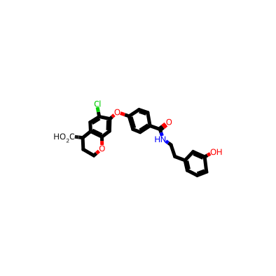 O=C(NCCc1cccc(O)c1)c1ccc(Oc2cc3c(cc2Cl)C(C(=O)O)CCO3)cc1